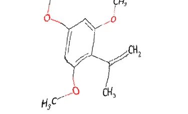 C=C(C)c1c(OC)cc(OC)cc1OC